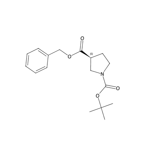 CC(C)(C)OC(=O)N1CC[C@H](C(=O)OCc2ccccc2)C1